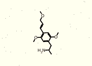 COC/C=C/c1cc(OC)c(CC(C)N)cc1OC